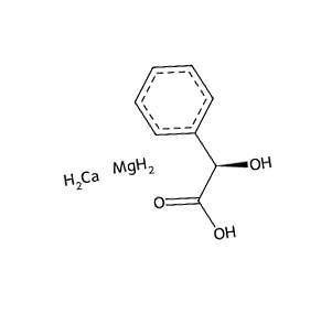 O=C(O)[C@H](O)c1ccccc1.[CaH2].[MgH2]